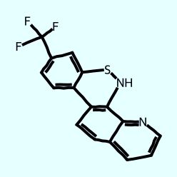 FC(F)(F)c1ccc2c(c1)SNc1c-2ccc2cccnc12